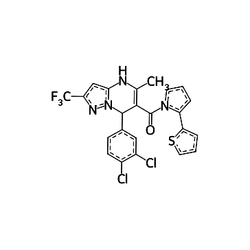 CC1=C(C(=O)n2cccc2-c2cccs2)C(c2ccc(Cl)c(Cl)c2)n2nc(C(F)(F)F)cc2N1